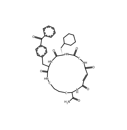 NC(=O)C1CCCCNC(=O)C(Cc2ccc(C(=O)c3ccccc3)cc2)NC(=O)[C@H](CC2CCCCC2)NC(=O)CNC(=O)/C=C/C(=O)N1